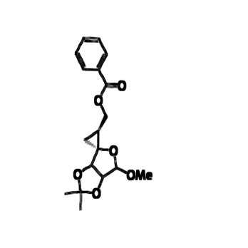 COC1O[C@@]2(C[C@H]2COC(=O)c2ccccc2)C2OC(C)(C)OC12